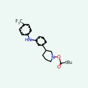 CC(C)(C)C(=O)ON1CCCC(c2cccc(Nc3ccc(C(F)(F)F)cc3)c2)C1